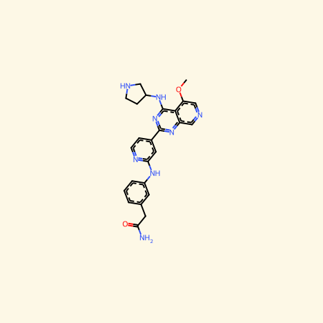 COc1cncc2nc(-c3ccnc(Nc4cccc(CC(N)=O)c4)c3)nc(NC3CCNC3)c12